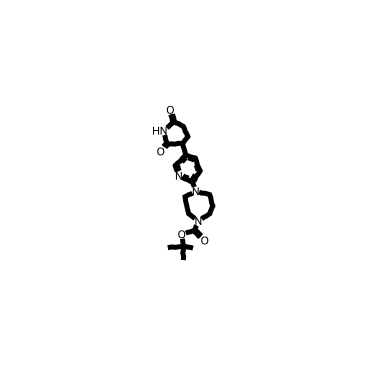 CC(C)(C)OC(=O)N1CCCN(c2ccc(C3CCC(=O)NC3=O)cn2)CC1